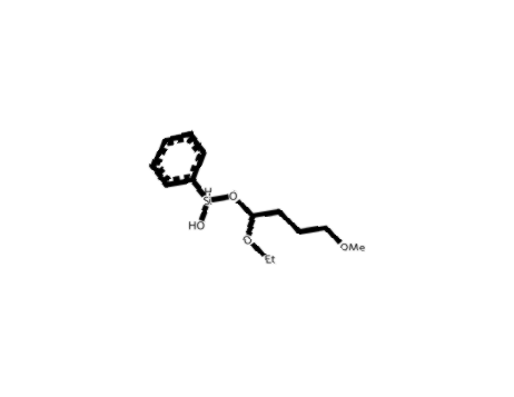 CCOC(CCCOC)O[SiH](O)c1ccccc1